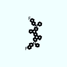 Fc1ccc2cc(N(c3ccccc3)c3ccc4c(c3)c3ccccc3c3cc5c6ccc(N(c7ccccc7)c7ccc8cc(F)ccc8c7)cc6c6ccccc6c5cc43)ccc2c1